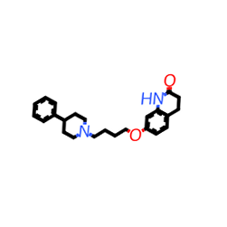 O=C1CCc2ccc(OCCCCN3CCC(c4ccccc4)CC3)cc2N1